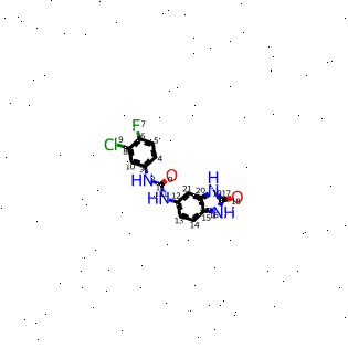 O=C(Nc1ccc(F)c(Cl)c1)Nc1ccc2[nH]c(=O)[nH]c2c1